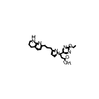 CCOc1ncc(C(CC(=O)O)n2ccc(CCCc3ccc4c(n3)NCCC4)n2)cn1